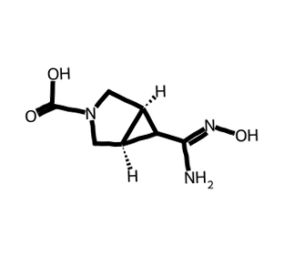 NC(=NO)C1[C@H]2CN(C(=O)O)C[C@@H]12